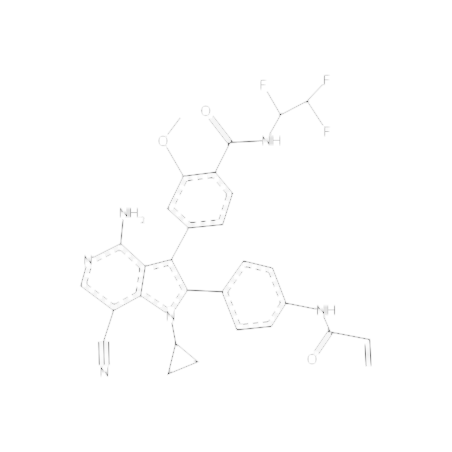 C=CC(=O)Nc1ccc(-c2c(-c3ccc(C(=O)NC(F)C(F)F)c(OC)c3)c3c(N)ncc(C#N)c3n2C2CC2)cc1